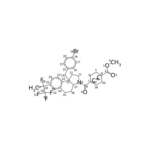 COC(=O)C12CCC(C(=O)N3CCC4(Cc5ccc(Br)cc5)c5ccc(C(C)(F)C(F)(F)F)cc5CCC34)(CC1)CC2